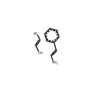 N#CC=CC#N.O=[N+]([O-])C=Cc1ccccc1